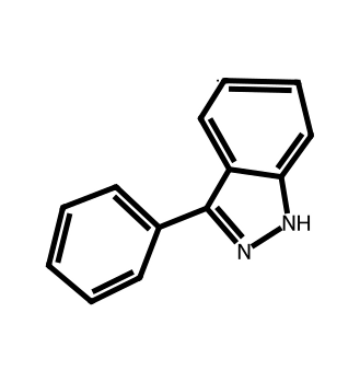 [c]1ccc2[nH]nc(-c3ccccc3)c2c1